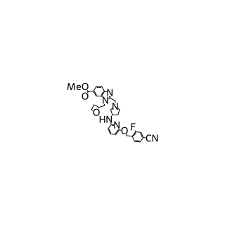 COC(=O)c1ccc2nc(CN3CCC(Nc4cccc(OCc5ccc(C#N)cc5F)n4)C3)n(CC3CCO3)c2c1